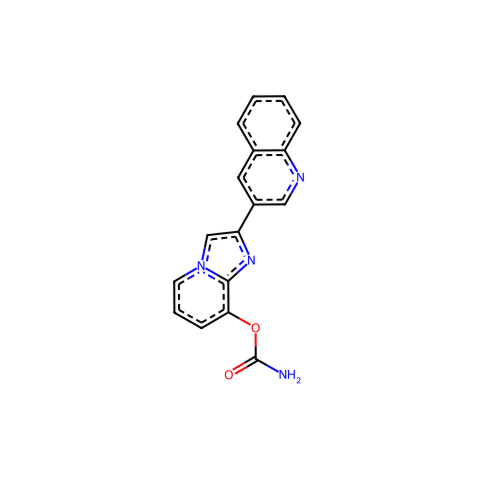 NC(=O)Oc1cccn2cc(-c3cnc4ccccc4c3)nc12